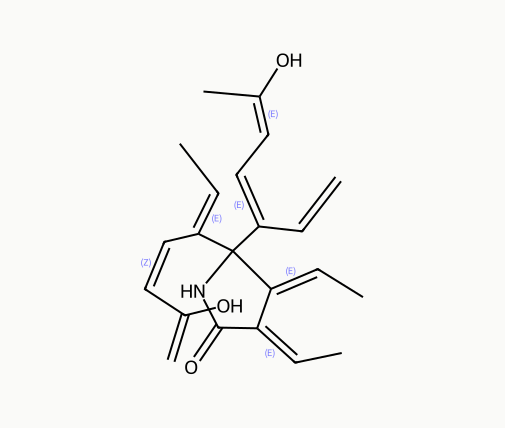 C=C/C(=C\C=C(/C)O)C1(C(/C=C\C(=C)O)=C/C)NC(=O)C(=C/C)/C1=C\C